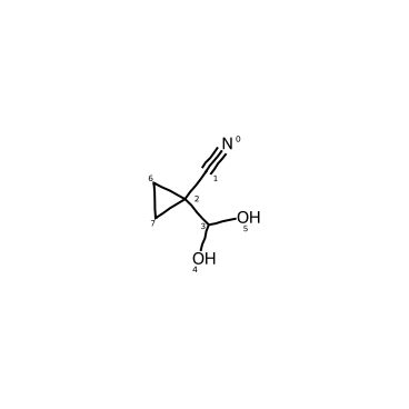 N#CC1(C(O)O)CC1